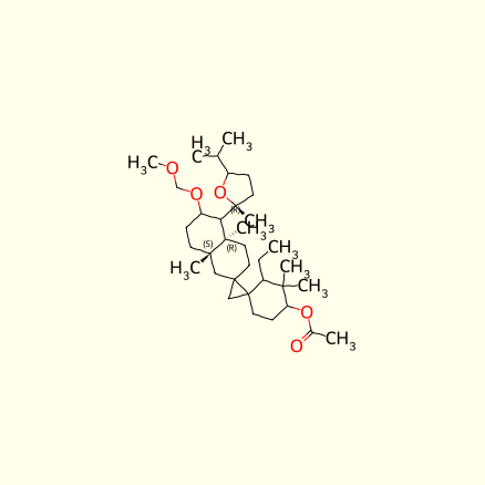 CCC1C(C)(C)C(OC(C)=O)CCC12CC21CC[C@]2(C)C([C@@]3(C)CCC(C(C)C)O3)C(OCOC)CC[C@@]2(C)C1